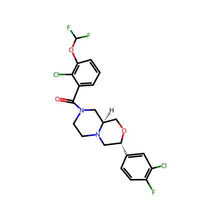 O=C(c1cccc(OC(F)F)c1Cl)N1CCN2C[C@@H](c3ccc(F)c(Cl)c3)OC[C@@H]2C1